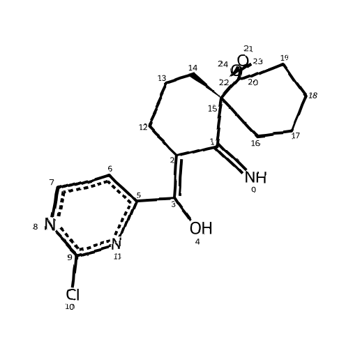 N=C1/C(=C(\O)c2ccnc(Cl)n2)CCC[C@@]12CCCCC21OCCO1